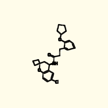 O=C(CCc1ccccc1OC1CCCC1)N[C@@H]1CC2(CCC2)Oc2ccc(Cl)cc21